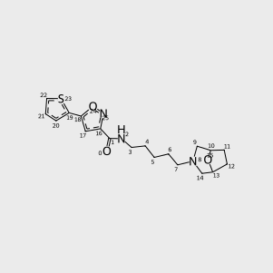 O=C(NCCCCCN1CC2CCC(C1)O2)c1cc(-c2cccs2)on1